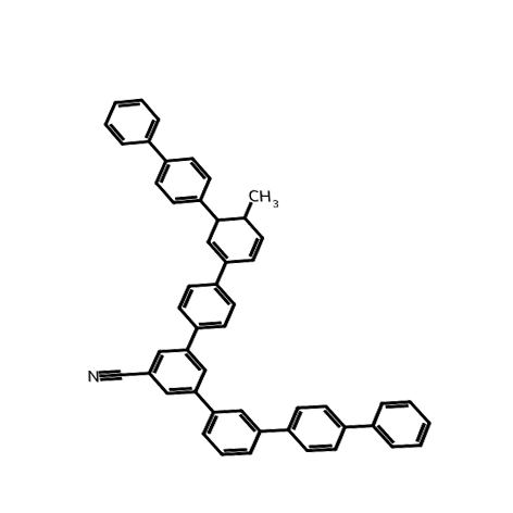 CC1C=CC(c2ccc(-c3cc(C#N)cc(-c4cccc(-c5ccc(-c6ccccc6)cc5)c4)c3)cc2)=CC1c1ccc(-c2ccccc2)cc1